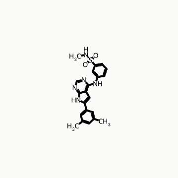 CNS(=O)(=O)c1cccc(Nc2ncnc3[nH]c(-c4cc(C)cc(C)c4)cc23)c1